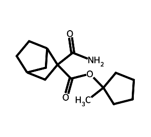 CC1(OC(=O)C2(C(N)=O)CC3CCC2C3)CCCC1